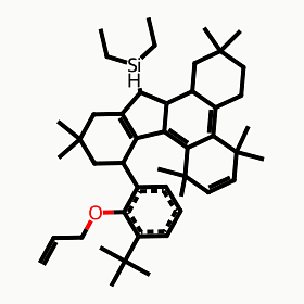 C=CCOc1c(C2CC(C)(C)CC3=C2C2=C4C(=C5CCC(C)(C)CC5C2C3[SiH](CC)CC)C(C)(C)C=CC4(C)C)cccc1C(C)(C)C